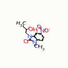 CCC(O)Cn1c(=O)n(C)c2ccc([N+](=O)[O-])cc21